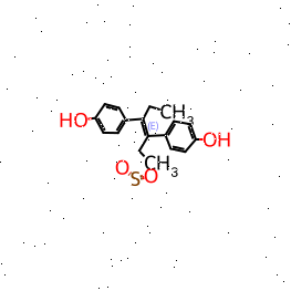 CC/C(=C(/CC)c1ccc(O)cc1)c1ccc(O)cc1.O=S=O